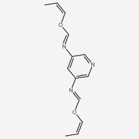 C/C=C\O/C=N/c1cncc(/N=C/O/C=C\C)c1